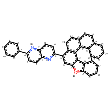 c1ccc(-c2ccc3nc(-c4cc5oc6cccc7c6c5c5c4ccc4ccc6cccc-7c6c45)ccc3n2)cc1